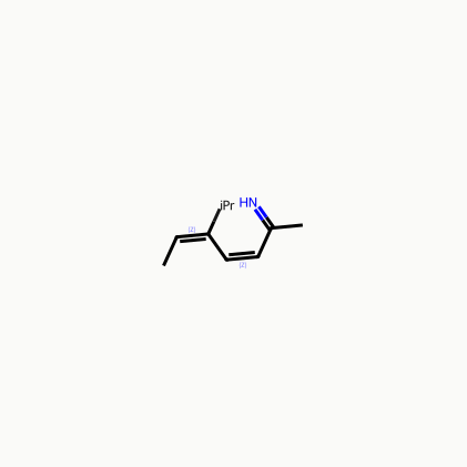 C/C=C(\C=C/C(C)=N)C(C)C